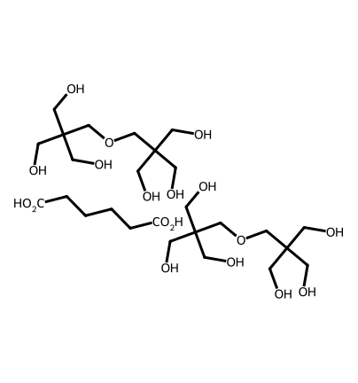 O=C(O)CCCCC(=O)O.OCC(CO)(CO)COCC(CO)(CO)CO.OCC(CO)(CO)COCC(CO)(CO)CO